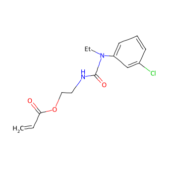 C=CC(=O)OCCNC(=O)N(CC)c1cccc(Cl)c1